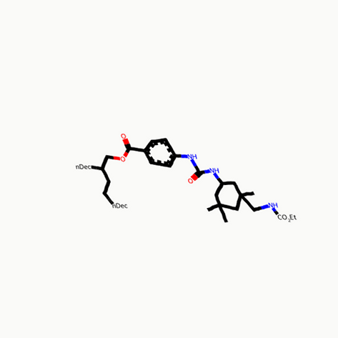 CCCCCCCCCCCCC(CCCCCCCCCC)COC(=O)c1ccc(NC(=O)NC2CC(C)(C)CC(C)(CNC(=O)OCC)C2)cc1